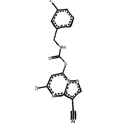 N#Cc1cnn2c(OC(=O)NCc3cccc(F)c3)cc(Cl)nc12